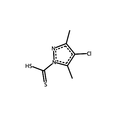 Cc1nn(C(=S)S)c(C)c1Cl